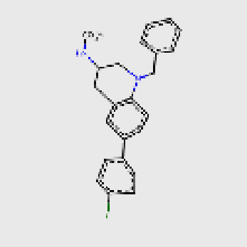 O=C(O)NC1Cc2cc(-c3ccc(F)cc3)ccc2N(Cc2ccccc2)C1